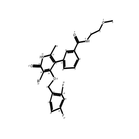 COCCNC(=O)c1cccc(-c2c(C)[nH]c(=O)c(Br)c2OCc2ccc(F)cc2F)c1